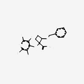 COC(=O)C1(Oc2c(F)c(F)nc(F)c2F)CCC1OCc1ccccc1